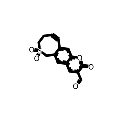 O=Cc1cc2cc3c(cc2oc1=O)C#CCCS(=O)(=O)C3